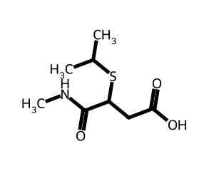 CNC(=O)C(CC(=O)O)SC(C)C